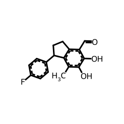 Cc1c(O)c(O)c(C=O)c2c1C(c1ccc(F)cc1)CC2